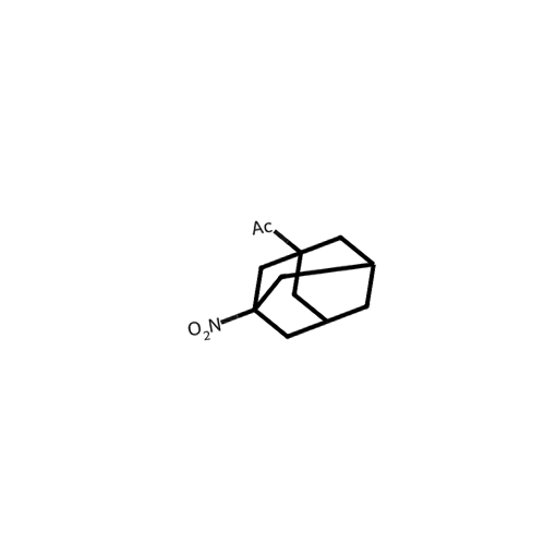 CC(=O)C12CC3CC(C1)CC([N+](=O)[O-])(C3)C2